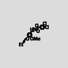 CCC#CCOc1ccc(CCNC(=O)C(=O)c2ccc(Cl)c(Cl)c2)cc1OC